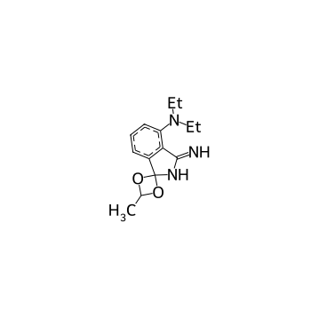 CCN(CC)c1cccc2c1C(=N)NC21OC(C)O1